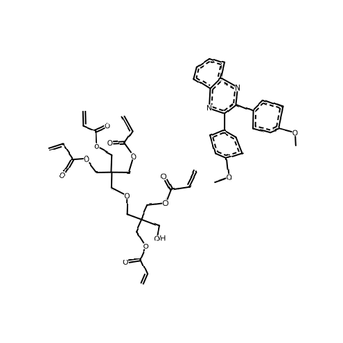 C=CC(=O)OCC(CO)(COCC(COC(=O)C=C)(COC(=O)C=C)COC(=O)C=C)COC(=O)C=C.COc1ccc(-c2nc3ccccc3nc2-c2ccc(OC)cc2)cc1